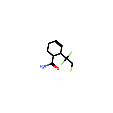 NC(=O)C1CCC=CC1C(F)(F)CF